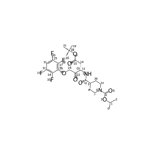 CC(C)OC(=O)N1CCC(C(=O)N[C@@H](CC(=O)OC(C)(C)C)C(=O)COc2c(F)c(F)cc(F)c2F)CC1